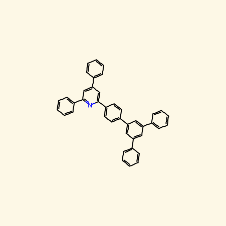 c1ccc(-c2cc(-c3ccccc3)cc(-c3ccc(-c4cc(-c5ccccc5)cc(-c5ccccc5)n4)cc3)c2)cc1